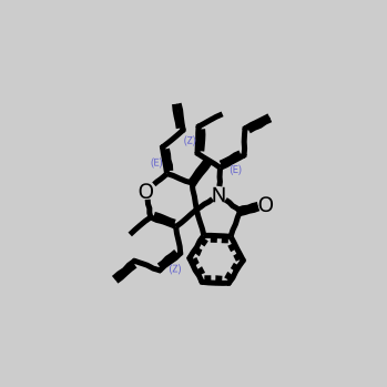 C=C/C=C\C1=C(C)O/C(=C/C=C)C(=C)C12c1ccccc1C(=O)N2C(/C=C\C)=C/C=C